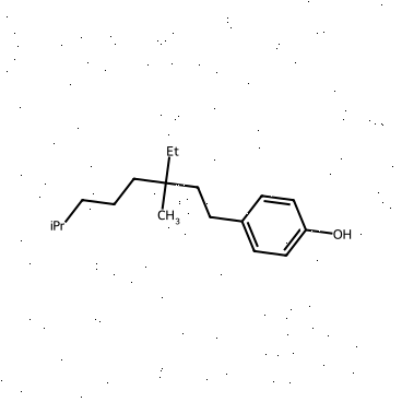 CCC(C)(CCCC(C)C)CCc1ccc(O)cc1